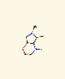 CC(C)N1CC2OCCN(C)C2C1C